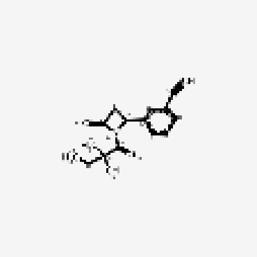 C#Cc1cccc(C2CC(=O)N2C(=O)C(C)(C)CC)c1